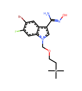 C[Si](C)(C)CCOCn1cc(/C(N)=N/O)c2cc(Br)c(F)cc21